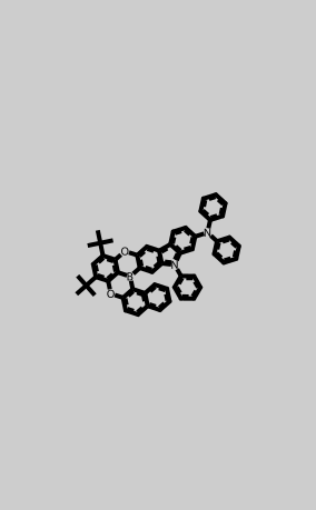 CC(C)(C)c1cc(C(C)(C)C)c2c3c1Oc1cc4c5ccc(N(c6ccccc6)c6ccccc6)cc5n(-c5ccccc5)c4cc1B3c1c(ccc3ccccc13)O2